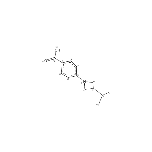 CC(C)C1CN(c2ccc(C(=O)O)cc2)C1